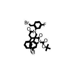 CC(C)(C)OC(=O)N1C(=O)C2(CN(c3cc(F)ccc3CBr)C(=O)CC2c2cccc(Cl)c2)c2ccc(Cl)cc21